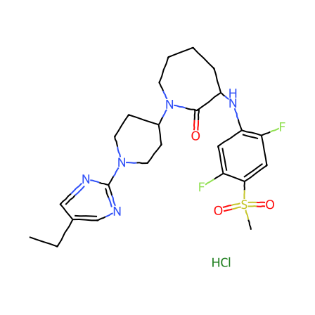 CCc1cnc(N2CCC(N3CCCCC(Nc4cc(F)c(S(C)(=O)=O)cc4F)C3=O)CC2)nc1.Cl